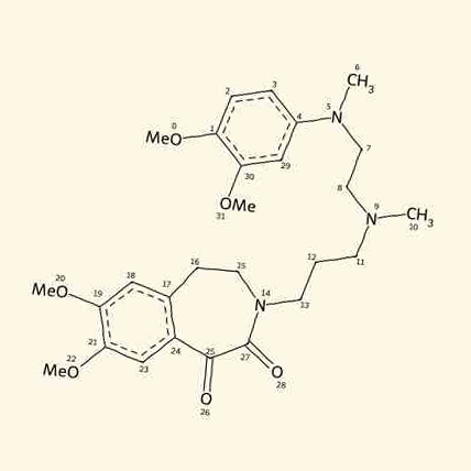 COc1ccc(N(C)CCN(C)CCCN2CCc3cc(OC)c(OC)cc3C(=O)C2=O)cc1OC